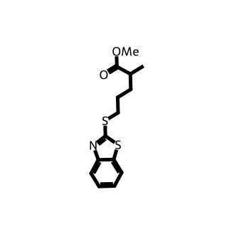 COC(=O)C(C)CCCSc1nc2ccccc2s1